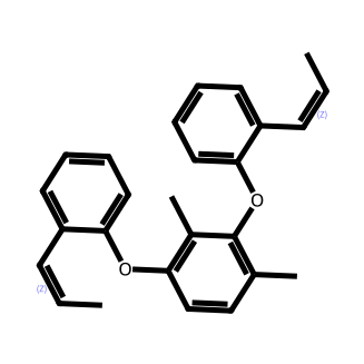 C/C=C\c1ccccc1Oc1ccc(C)c(Oc2ccccc2/C=C\C)c1C